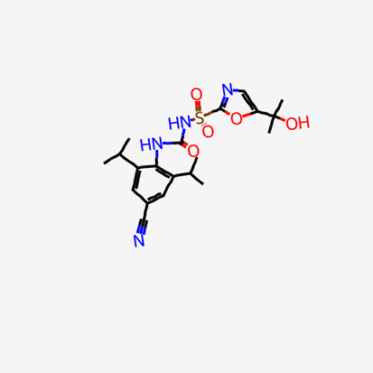 CC(C)c1cc(C#N)cc(C(C)C)c1NC(=O)NS(=O)(=O)c1ncc(C(C)(C)O)o1